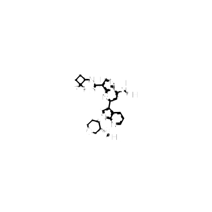 CNc1cc(-c2cn([C@H]3CCOC[C@H]3OC)c3ncccc23)nc2c(C(=O)NC3CCC3(F)F)cnn12